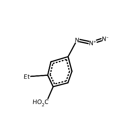 CCc1cc(N=[N+]=[N-])ccc1C(=O)O